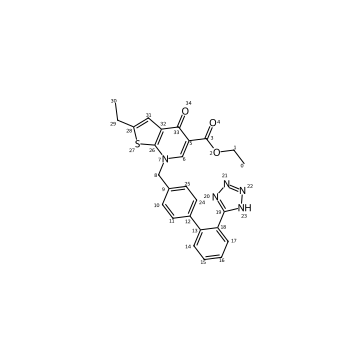 CCOC(=O)c1cn(Cc2ccc(-c3ccccc3-c3nnn[nH]3)cc2)c2sc(CC)cc2c1=O